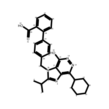 CC(C)c1nc2c(C3CCCCC3)nnc(O)c2n1Cc1ccc(-c2ccccc2C(=O)O)cc1